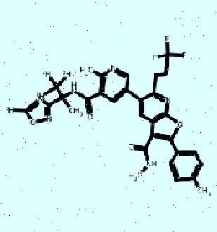 [2H]c1nc(C(C)(NC(=O)c2cc(-c3cc4c(C(=O)NC)c(-c5ccc(C)cc5)oc4nc3CCC(F)(F)F)cnc2C)C([2H])([2H])[2H])no1